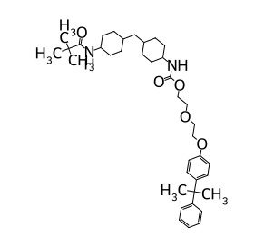 CC(C)(C)C(=O)NC1CCC(CC2CCC(NC(=O)OCCOCCOc3ccc(C(C)(C)c4ccccc4)cc3)CC2)CC1